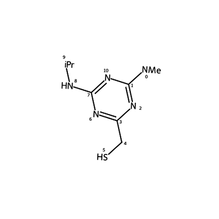 CNc1nc(CS)nc(NC(C)C)n1